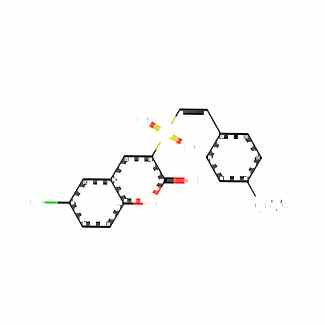 COc1ccc(/C=C\S(=O)(=O)c2cc3cc(Cl)ccc3oc2=O)cc1